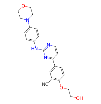 N#Cc1cc(-c2ccnc(Nc3ccc(N4CCOCC4)cc3)n2)ccc1OCCO